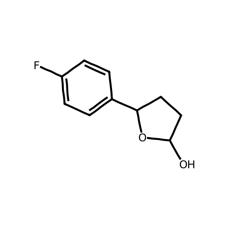 OC1CCC(c2ccc(F)cc2)O1